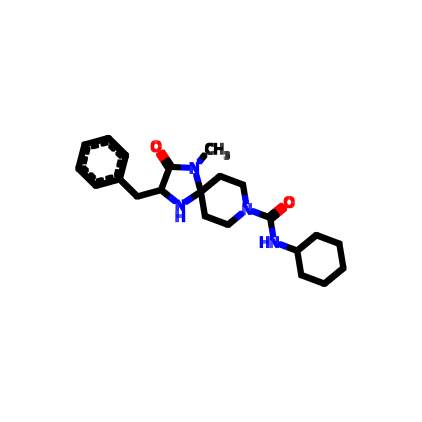 CN1C(=O)C(Cc2ccccc2)NC12CCN(C(=O)NC1CCCCC1)CC2